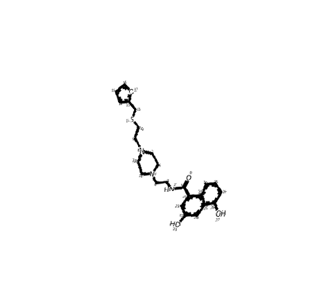 O=C(NCCN1CCN(CCSCc2ccco2)CC1)c1cc(O)cc2c(O)cccc12